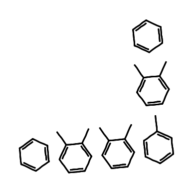 Cc1ccccc1.Cc1ccccc1C.Cc1ccccc1C.Cc1ccccc1C.c1ccccc1.c1ccccc1